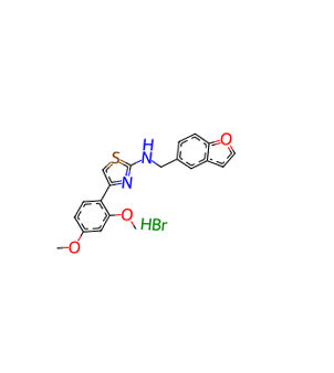 Br.COc1ccc(-c2csc(NCc3ccc4occc4c3)n2)c(OC)c1